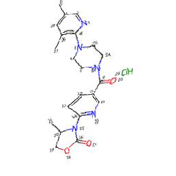 Cc1cnc(N2CCN(C(=O)c3ccc(N4C(=O)OCC4C)nc3)CC2)c(C)c1.Cl